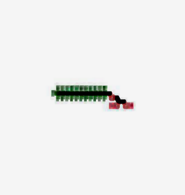 OCC(O)COCC(F)(F)C(F)(F)C(F)(F)C(F)(F)C(F)(F)C(F)(F)C(F)(F)C(F)(F)C(F)(F)C(F)(F)C(F)(F)F